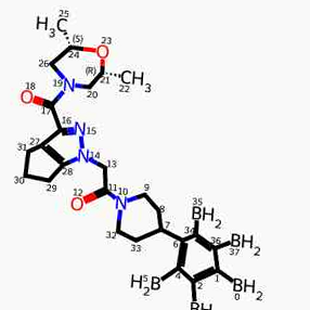 Bc1c(B)c(B)c(C2CCN(C(=O)Cn3nc(C(=O)N4C[C@@H](C)O[C@@H](C)C4)c4c3CCC4)CC2)c(B)c1B